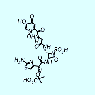 CC(C)(ON=C(C(=O)N[C@@H]1C(=O)N(S(=O)(=O)O)[C@H]1CNC(=O)CNC(=O)c1cc(=O)c(O)cn1O)c1csc(N)n1)C(=O)O